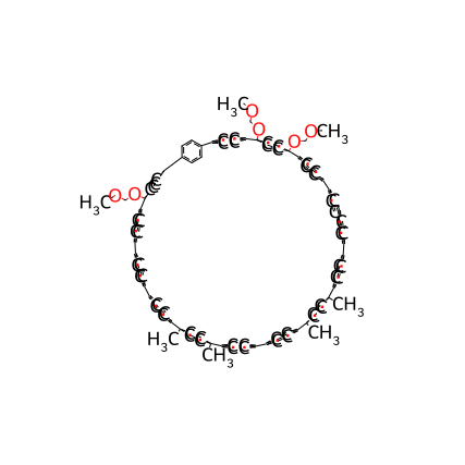 COCOC12CCC(CC1)c1ccc(cc1)-c1ccc(cc1)C1(OCOC)CCC(OCOC)(CC1)c1ccc(cc1)-c1ccc3cc(ccc3c1)-c1ccc(cc1)C1(C)CCC(C)(CC1)c1ccc(cc1)-c1ccc(cc1)C1(C)CCC(C)(CC1)c1ccc(cc1)-c1ccc(cc1)-c1ccc2cc1